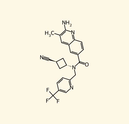 Cc1cc2cc(C(=O)N(Cc3ccc(C(F)(F)F)cn3)[C@H]3C[C@H](C#N)C3)ccc2nc1N